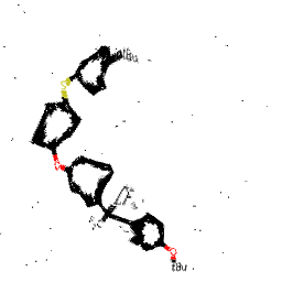 CC(C)(C)Oc1ccc(C(c2ccc(Oc3ccc(Sc4ccc(C(C)(C)C)cc4)cc3)cc2)(C(F)(F)F)C(F)(F)F)cc1